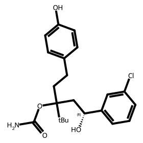 CC(C)(C)C(CCc1ccc(O)cc1)(C[C@@H](O)c1cccc(Cl)c1)OC(N)=O